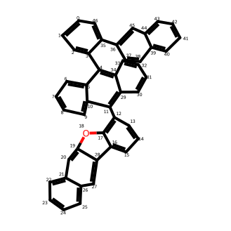 c1ccc(-c2c3ccccc3c(-c3cccc4c3oc3cc5ccccc5cc34)c3ccccc23)c(-c2ccc3ccccc3c2)c1